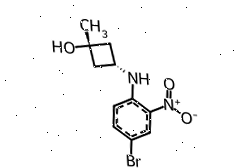 C[C@]1(O)C[C@@H](Nc2ccc(Br)cc2[N+](=O)[O-])C1